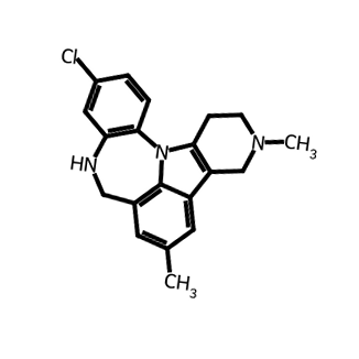 Cc1cc2c3c(c1)c1c(n3-c3ccc(Cl)cc3NC2)CCN(C)C1